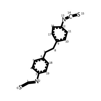 S=C=Nc1ccc(CCc2ccc(N=C=S)cc2)cc1